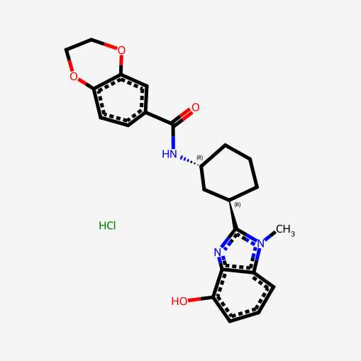 Cl.Cn1c([C@@H]2CCC[C@@H](NC(=O)c3ccc4c(c3)OCCO4)C2)nc2c(O)cccc21